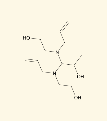 C=CCN(CCO)C(C(C)O)N(CC=C)CCO